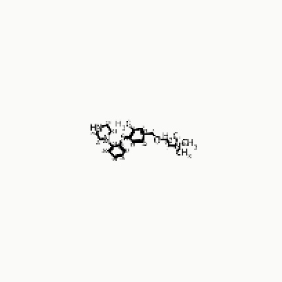 Cc1cc(COCC[N+](C)(C)C)ccc1Sc1ccccc1N1CCNCC1